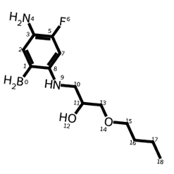 Bc1cc(N)c(F)cc1NCC(O)COCCCC